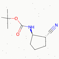 CC(C)(C)OC(=O)N[C@@H]1CCC[C@H]1C#N